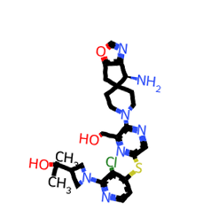 CC(C)(O)C1CN(c2nccc(Sc3cnc(N4CCC5(CC4)Cc4ocnc4[C@H]5N)c(CO)n3)c2Cl)C1